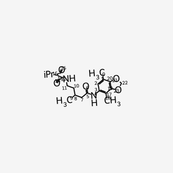 Cc1cc(NC(=O)CC(C)CCNS(=O)(=O)C(C)C)c(C)c2c1OCO2